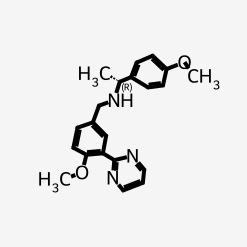 COc1ccc([C@@H](C)NCc2ccc(OC)c(-c3ncccn3)c2)cc1